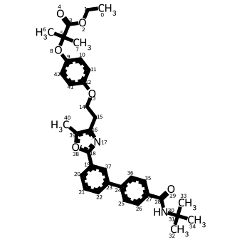 CCOC(=O)C(C)(C)Oc1ccc(OCCc2nc(-c3cccc(-c4ccc(C(=O)NC(C)(C)C)cc4)c3)oc2C)cc1